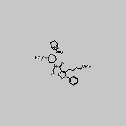 COCCCCc1c(C(=O)N(CC(C)C)[C@H]2C[C@@H](C(=O)N3C4CCC3CC4)CN(C(=O)O)C2)nnn1-c1ccccc1